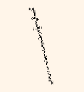 [N-]=[N+]=NCCOCCOCCOCCOCCOCCOCCOCCOCCOCCNC(=O)CCCCCNC(=O)CCCCCN